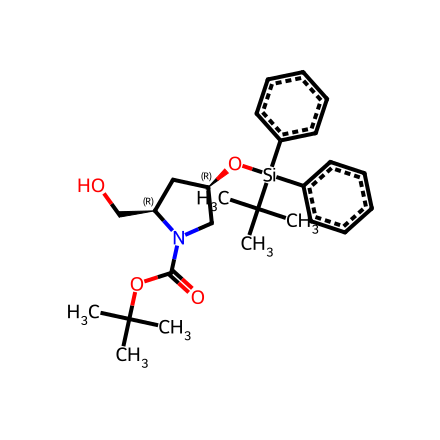 CC(C)(C)OC(=O)N1C[C@H](O[Si](c2ccccc2)(c2ccccc2)C(C)(C)C)C[C@@H]1CO